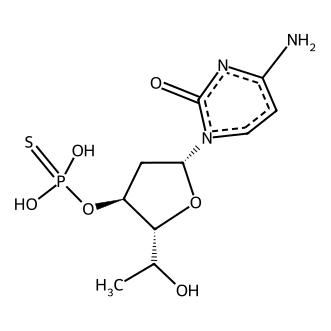 CC(O)[C@H]1O[C@@H](n2ccc(N)nc2=O)C[C@@H]1OP(O)(O)=S